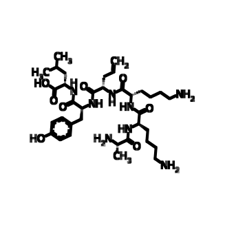 C=CC[C@H](NC(=O)[C@H](CCCCN)NC(=O)[C@@H](CCCCN)NC(=O)[C@H](C)N)C(=O)N[C@@H](Cc1ccc(O)cc1)C(=O)N[C@@H](CC(C)C)C(=O)O